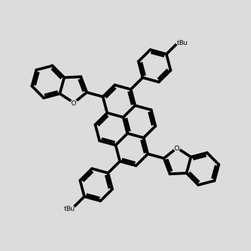 CC(C)(C)c1ccc(-c2cc(-c3cc4ccccc4o3)c3ccc4c(-c5ccc(C(C)(C)C)cc5)cc(-c5cc6ccccc6o5)c5ccc2c3c45)cc1